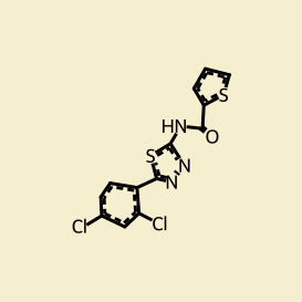 O=C(Nc1nnc(-c2ccc(Cl)cc2Cl)s1)c1cccs1